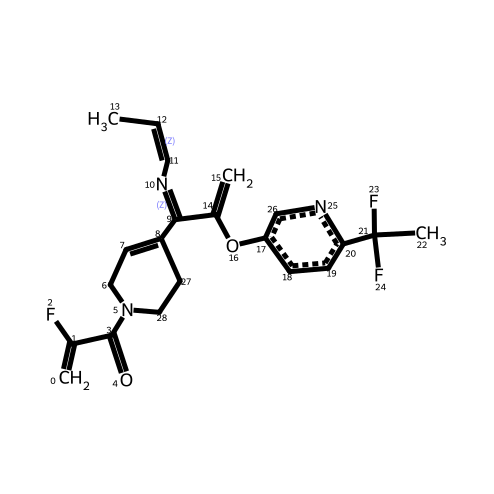 C=C(F)C(=O)N1CC=C(/C(=N/C=C\C)C(=C)Oc2ccc(C(C)(F)F)nc2)CC1